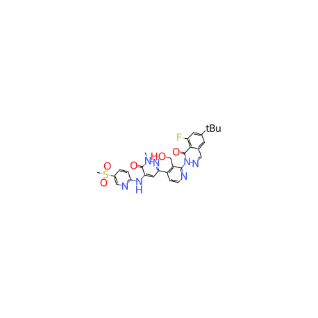 Cn1nc(-c2ccnc(-n3ncc4cc(C(C)(C)C)cc(F)c4c3=O)c2CO)cc(Nc2ccc(S(C)(=O)=O)cn2)c1=O